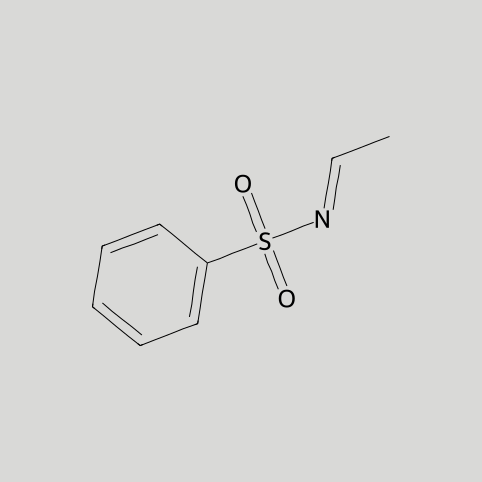 C/C=N/S(=O)(=O)c1ccccc1